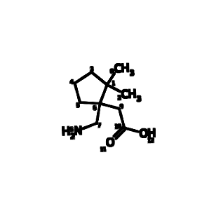 CC1(C)CCCC1(CN)CC(=O)O